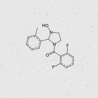 Cc1ccccc1C1N(O)CCN1C(=O)c1c(F)cccc1F